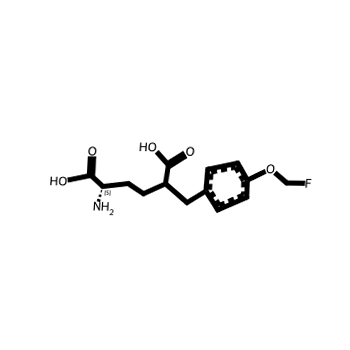 N[C@@H](CCC(Cc1ccc(OCF)cc1)C(=O)O)C(=O)O